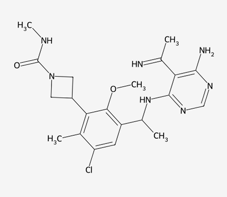 CNC(=O)N1CC(c2c(C)c(Cl)cc(C(C)Nc3ncnc(N)c3C(C)=N)c2OC)C1